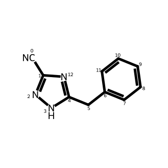 N#Cc1n[nH]c(Cc2ccccc2)n1